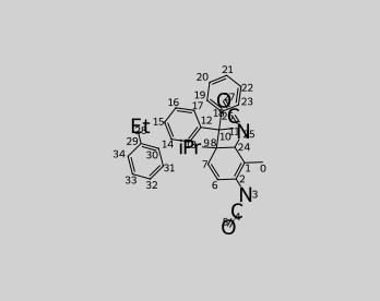 CC1=C(N=C=O)C=CC(C(C)C)(C(C)(c2ccccc2)c2ccccc2)C1N=C=O.CCc1ccccc1